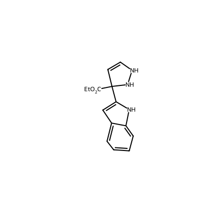 CCOC(=O)C1(c2cc3ccccc3[nH]2)C=CNN1